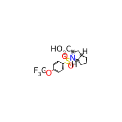 O=C(O)[C@H]1C[C@H]2CCC[C@H]2N1S(=O)(=O)c1ccc(OC(F)(F)F)cc1